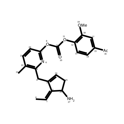 C/C=C1\C(Cc2nc(OC(=O)Oc3ccc(C(C)=O)cc3OC)ccc2C)=CCC1N